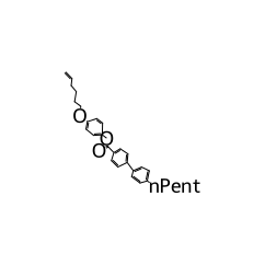 C=CCCCCOc1ccc(OC(=O)c2ccc(-c3ccc(CCCCC)cc3)cc2)cc1